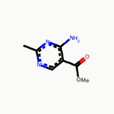 COC(=O)c1cnc(C)nc1N